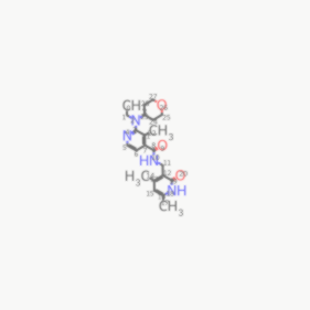 CCN(c1nccc(C(=O)NCc2c(C)cc(C)[nH]c2=O)c1C)C1CCOCC1